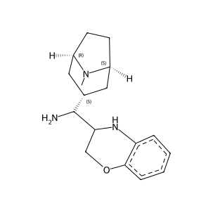 CN1[C@@H]2CC[C@H]1C[C@H](C(N)C1COc3ccccc3N1)C2